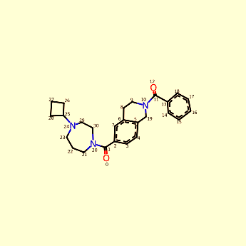 O=C(c1ccc2c(c1)CCN(C(=O)c1ccccc1)C2)N1CCCN(C2CCC2)CC1